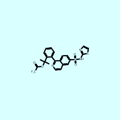 CC(C)(OC(=O)C(F)(F)F)c1ccccc1-c1nccc2cc(S(=O)(=O)Nc3nccs3)ccc12